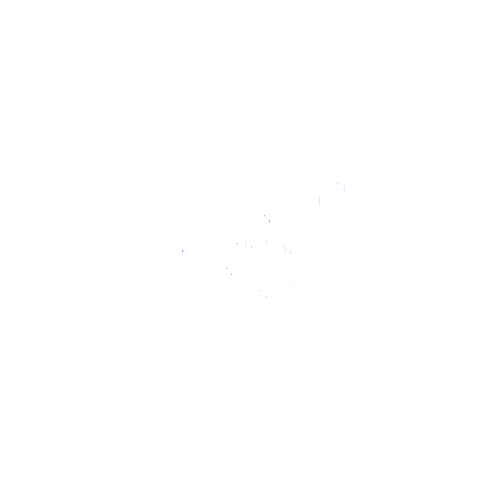 NC1CCC(Nc2nc3ncnc-3c(NCCNCc3ccccc3)[nH]2)CC1